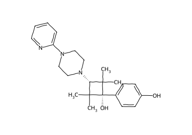 CC1(C)[C@H](N2CCN(c3ccccn3)CC2)C(C)(C)[C@@]1(O)c1ccc(O)cc1